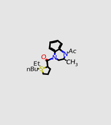 CCCCS1(CC)CCCC1C(=O)N1C[C@H](C)N(C(C)=O)c2ccccc21